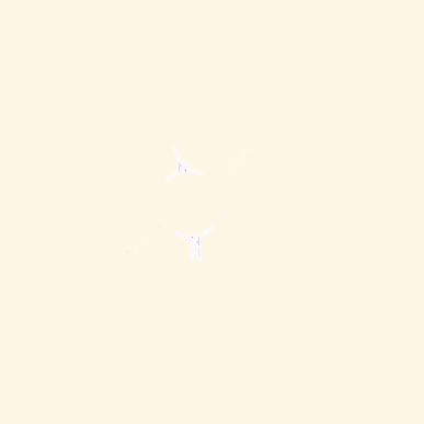 CC(C)C[C@@H]1NC(=O)C2=CCCN2C1=O